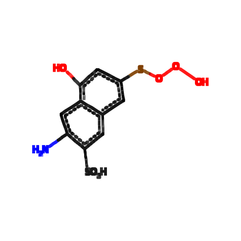 Nc1cc2c(O)cc(SOOO)cc2cc1S(=O)(=O)O